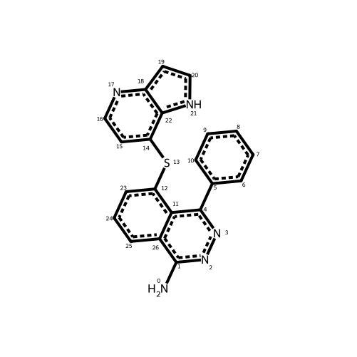 Nc1nnc(-c2ccccc2)c2c(Sc3ccnc4cc[nH]c34)cccc12